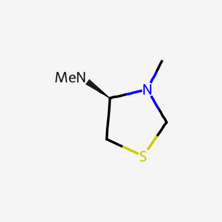 CN[C@@H]1CSCN1C